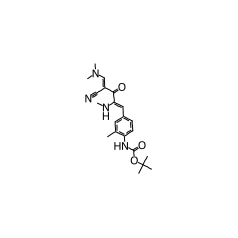 CN/C(=C\c1ccc(NC(=O)OC(C)(C)C)c(C)c1)C(=O)/C(C#N)=C/N(C)C